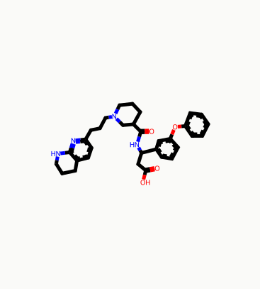 O=C(O)CC(NC(=O)C1CCCN(CCCc2ccc3c(n2)NCCC3)C1)c1cccc(Oc2ccccc2)c1